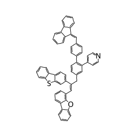 C(=C1c2ccccc2-c2ccccc21)c1ccc(-c2ccc(C/C(=C/c3cccc4c3oc3ccccc34)c3ccc4c(c3)sc3ccccc34)cc2-c2ccncc2)cc1